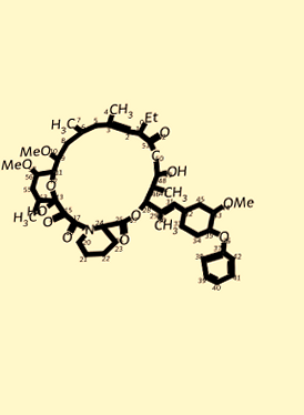 CCC1/C=C(\C)CC(C)CC(OC)C2OC(O)(C(=O)C(=O)N3CCCCC3C(=O)OC(C(C)=CC3CCC(Oc4ccccc4)C(OC)C3)C(C)C(O)CC1=O)C(C)CC2OC